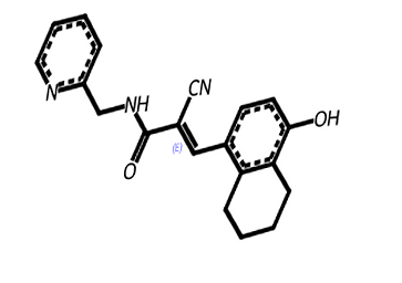 N#C/C(=C\c1ccc(O)c2c1CCCC2)C(=O)NCc1ccccn1